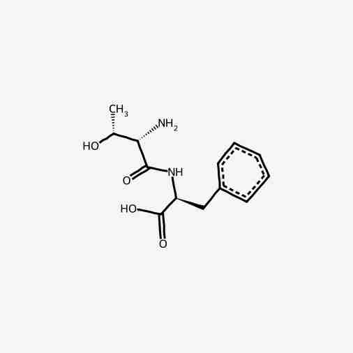 C[C@@H](O)[C@H](N)C(=O)N[C@@H](Cc1ccccc1)C(=O)O